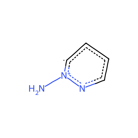 N[n+]1[c]cccn1